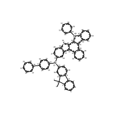 CC1(C)c2ccccc2-c2ccc(N(c3ccc(-c4ccccc4)cc3)c3ccc4sc5c(c4c3)c3ccccc3c3c4ccccc4n(-c4ccccc4)c53)cc21